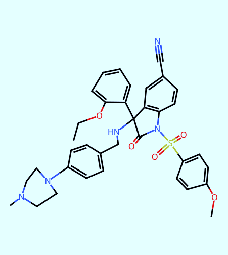 CCOc1ccccc1C1(NCc2ccc(N3CCN(C)CC3)cc2)C(=O)N(S(=O)(=O)c2ccc(OC)cc2)c2ccc(C#N)cc21